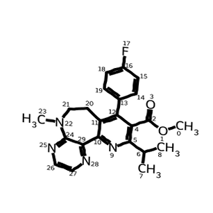 COC(=O)c1c(C(C)C)nc2c(c1-c1ccc(F)cc1)CCN(C)c1nccnc1-2